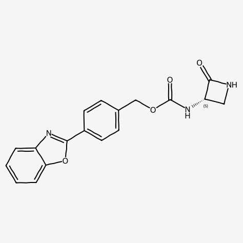 O=C(N[C@H]1CNC1=O)OCc1ccc(-c2nc3ccccc3o2)cc1